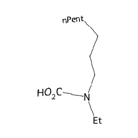 CCCCCCCCN(CC)C(=O)O